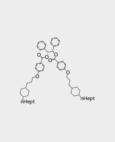 CCCCCCCC1CCC(CCCOc2ccc(C(=O)O[C@H](c3ccccc3)[C@H](OC(=O)c3ccc(OCCCC4CCC(CCCCCCC)CC4)cc3)c3ccccc3)cc2)CC1